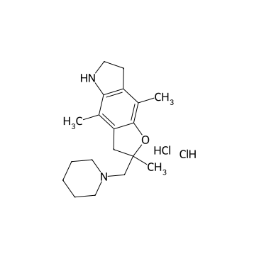 Cc1c2c(c(C)c3c1NCC3)OC(C)(CN1CCCCC1)C2.Cl.Cl